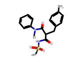 CCCS(=O)(=O)NC(=O)C(Cc1ccc([N+](=O)[O-])cc1)C(=O)N(CC)c1ccccc1